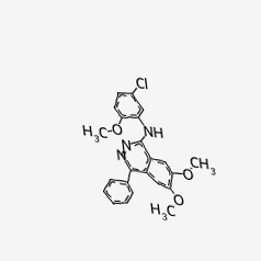 COc1ccc(Cl)cc1Nc1nnc(-c2ccccc2)c2cc(OC)c(OC)cc12